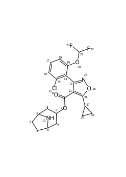 O=C(OC1CC2CCC(C1)N2)c1c(-c2c(Cl)cccc2OC(F)F)noc1C1CC1